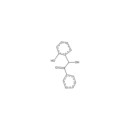 O=C(c1ccccc1)C(O)c1ccccc1O